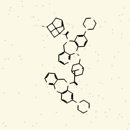 CO[C@H]1C2CC3CC24C1C[C@@]4(C(=O)N1Cc2cccnc2N(OC2CC4CCC2CC4C(=O)N2Cc4cccnc4Nc4ccc(N5CCOCC5)cc42)c2ccc(N4CCOCC4)cc21)C3